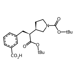 CC(C)(C)OC(=O)[C@@H](Cc1cccc(C(=O)O)c1)[C@H]1CCN(C(=O)OC(C)(C)C)C1